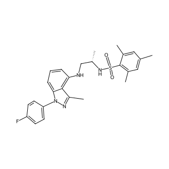 Cc1cc(C)c(S(=O)(=O)N[C@@H](C)CNc2cccc3c2c(C)nn3-c2ccc(F)cc2)c(C)c1